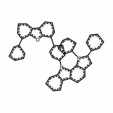 c1ccc(-c2cccc3c2oc2c(-c4ccc(-n5c6ccccc6c6ccc7cc(-c8ccccc8)n(-c8ccccc8)c7c65)cc4)cccc23)cc1